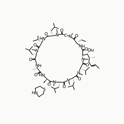 C/C=C/C[C@@H](C)[C@@H](O)[C@H]1C(=O)N[C@@H](CC)C(=O)N(C)CC(=O)N(C)[C@@H](CC(C)C)C(=O)N[C@@H](C(C)C)C(=O)N(C)[C@@H](CC(C)C)C(=O)N[C@@H](C)C(=O)N[C@H](C)C(=O)N(C)[C@@H](CC(C)C)C(=O)N(C)[C@@H](CC(C)C)C(=O)N(C)[C@@H](C(C)C)C(=O)N1C.C1CSCCN1